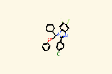 Fc1cc2nc(-c3ccc(Cl)cc3)n(C(COc3ccccc3)C3CCCCC3)c2cc1F